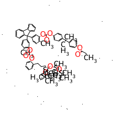 CCC(=O)Oc1ccc(C(C)(C)c2ccc(OC(=O)Oc3cc(C4(c5ccc(C)c(OC(=O)Oc6ccccc6CCC[Si](C)(O[Si](C)(C)C)O[Si](C)(C)O[Si](C)(C)C)c5)c5ccccc5-c5ccccc54)ccc3C)cc2)cc1